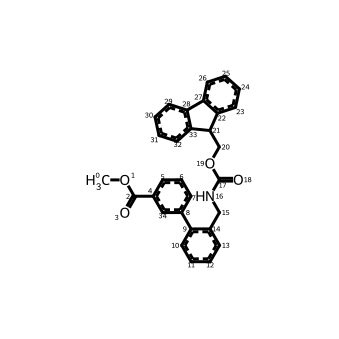 COC(=O)c1cccc(-c2ccccc2CNC(=O)OCC2c3ccccc3-c3ccccc32)c1